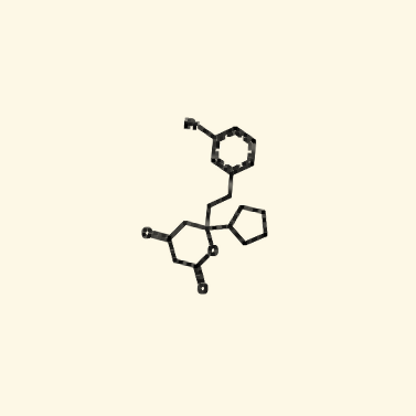 CC(C)c1cccc(CCC2(C3CCCC3)CC(=O)CC(=O)O2)c1